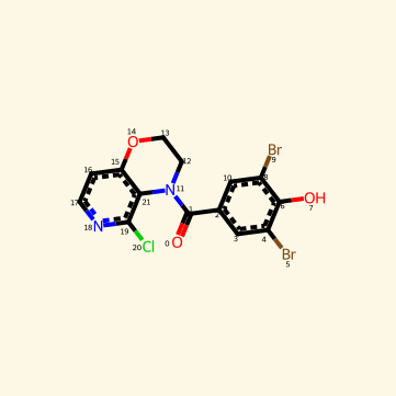 O=C(c1cc(Br)c(O)c(Br)c1)N1CCOc2ccnc(Cl)c21